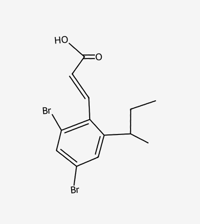 CCC(C)c1cc(Br)cc(Br)c1C=CC(=O)O